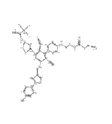 N#Cc1c(SCc2csc(-c3ccc(Cl)cc3)n2)nc(N2CCCC2)c(C#N)c1-c1ccc(OCCOC(=O)CCN)cc1.O=C(O)C(F)(F)F